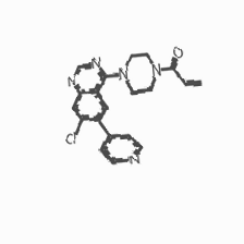 C=CC(=O)N1CCN(c2ncnc3cc(Cl)c(-c4ccncc4)cc23)CC1